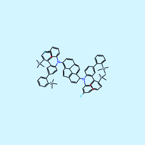 C[Si](C)(C)c1ccccc1-c1ccc(N(C2=C3C=CC4=C5C(=CC=C(C=C2)C35)C(N(c2cccc(F)c2)c2ccc(-c3ccccc3[Si](C)(C)C)cc2-c2ccccc2[Si](C)(C)C)C=C4)c2cccc(F)c2)c(-c2ccccc2[Si](C)(C)C)c1